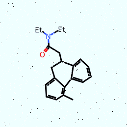 CCN(CC)C(=O)CC1Cc2cccc(C)c2-c2ccccc21